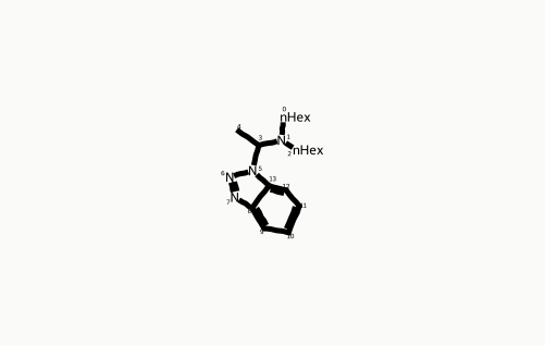 CCCCCCN(CCCCCC)C(C)n1nnc2ccccc21